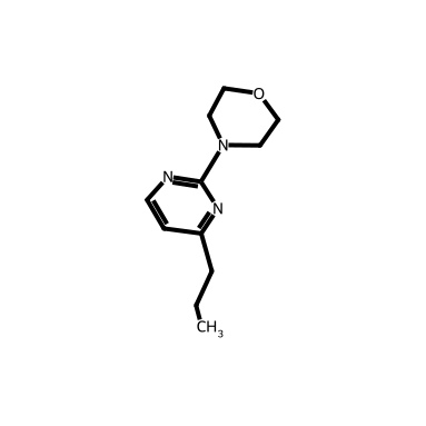 CCCc1ccnc(N2CCOCC2)n1